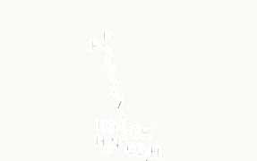 NC(C(=O)O)C(O)C(O)C/C=C/CCCCCCC(F)F